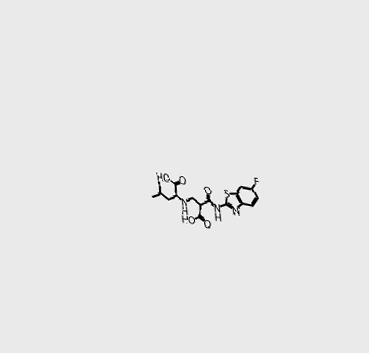 CC(C)CC(NCC(C(=O)O)C(=O)Nc1nc2ccc(F)cc2s1)C(=O)O